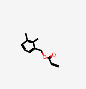 C=CC(=O)OCc1cccc(C)c1C